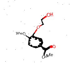 COC(=O)c1ccc(OC)c(OCCO)c1